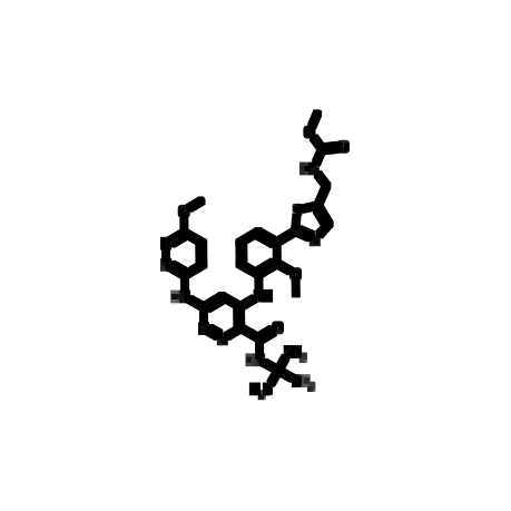 BC(B)(B)NC(=O)c1nnc(Nc2ccc(OC)nn2)cc1Nc1cccc(-c2ncc(CNC(=O)OC)s2)c1OC